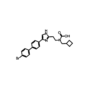 O=C(O)N(CCc1nc(-c2ccc(-c3ccc(Br)cc3)cc2)c[nH]1)CC1CCC1